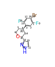 Fc1cc([C@@H]2CCOC(c3cc[nH]n3)C2)c(F)cc1Br